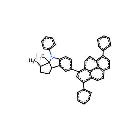 CC1CCC2c3cc(-c4cc(-c5ccccc5)c5ccc6ccc(-c7ccccc7)c7ccc4c5c67)ccc3N(c3ccccc3)C12C